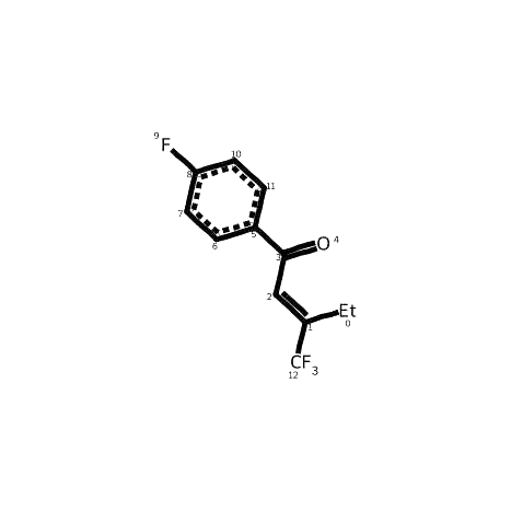 CC/C(=C\C(=O)c1ccc(F)cc1)C(F)(F)F